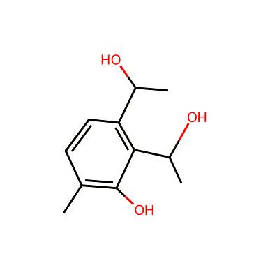 Cc1ccc(C(C)O)c(C(C)O)c1O